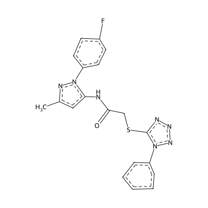 Cc1cc(NC(=O)CSc2nnnn2-c2ccccc2)n(-c2ccc(F)cc2)n1